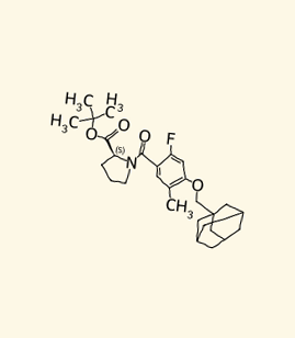 Cc1cc(C(=O)N2CCC[C@H]2C(=O)OC(C)(C)C)c(F)cc1OCC12CC3CC(CC(C3)C1)C2